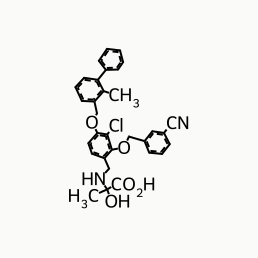 Cc1c(COc2ccc(CNC(C)(O)C(=O)O)c(OCc3cccc(C#N)c3)c2Cl)cccc1-c1ccccc1